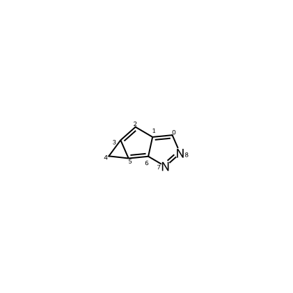 C1=C2C=C3CC3=C2N=N1